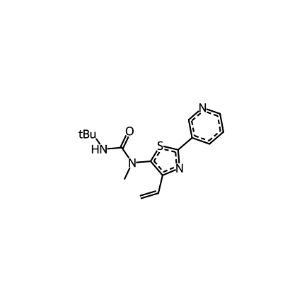 C=Cc1nc(-c2cccnc2)sc1N(C)C(=O)NC(C)(C)C